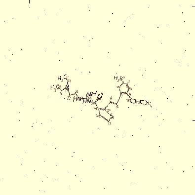 Bc1ccc(OC)c(CCc2sccc2C(=O)NC(=N)NCCN(CC)CC)c1